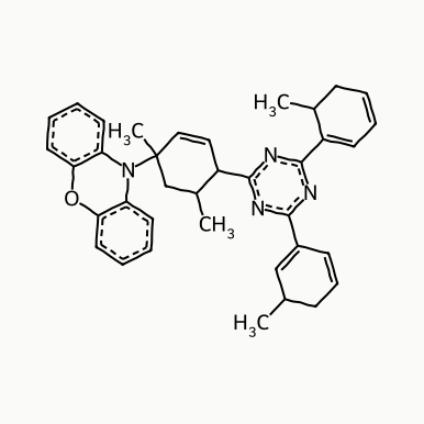 CC1C=C(c2nc(C3=CC=CCC3C)nc(C3C=CC(C)(N4c5ccccc5Oc5ccccc54)CC3C)n2)C=CC1